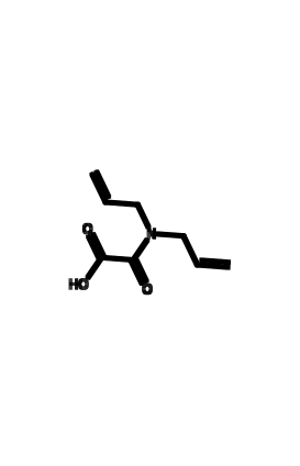 C=CCN(CC=C)C(=O)C(=O)O